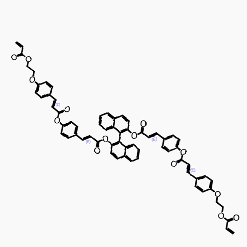 C=CC(=O)OCCOc1ccc(/C=C/C(=O)Oc2ccc(/C=C/C(=O)Oc3ccc4ccccc4c3-c3c(OC(=O)/C=C/c4ccc(OC(=O)/C=C/c5ccc(OCCOC(=O)C=C)cc5)cc4)ccc4ccccc34)cc2)cc1